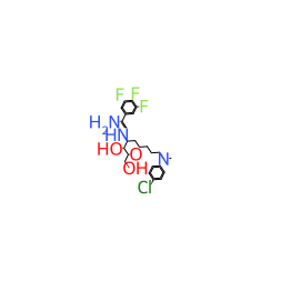 CN(CCCC1CC(N/C=C(\N)c2cc(F)c(F)c(F)c2)C(O)C(CO)O1)c1ccc(Cl)cc1